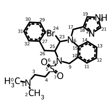 CN(C)CCS(=O)(=O)N1Cc2ccccc2N(Cc2c[nH]cn2)C(Br)C1Cc1ccccc1